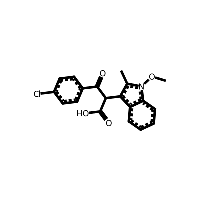 COn1c(C)c(C(C(=O)O)C(=O)c2ccc(Cl)cc2)c2ccccc21